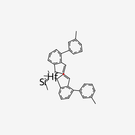 Cc1cccc(-c2cccc3c2C=C[CH]3[Hf]([CH3])([CH3])([CH]2C=Cc3c(-c4cccc(C)c4)cccc32)=[Si](C)C)c1